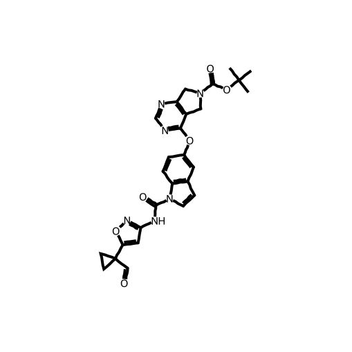 CC(C)(C)OC(=O)N1Cc2ncnc(Oc3ccc4c(ccn4C(=O)Nc4cc(C5(C=O)CC5)on4)c3)c2C1